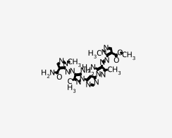 COC(=O)c1cnn(C)c1/N=N/c1c(C)nn(-c2cc(-n3nc(C)c(/N=N/c4c(C(N)=O)cnn4C)c3N)ncn2)c1N